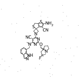 CN(Cc1cccc2cn[nH]c12)c1nc(OC[C@@]23CCCN2C[C@H](F)C3)nc(N2CC3(C2)SCc2sc(N)c(C#N)c23)c1C#N